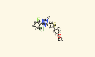 CCOc1ccc(-c2cc(-c3nc(-c4c(F)cccc4Cl)nn3C)cs2)cc1